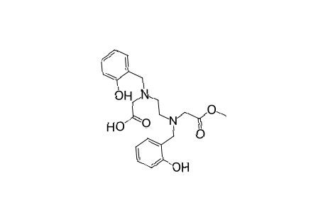 COC(=O)CN(CCN(CC(=O)O)Cc1ccccc1O)Cc1ccccc1O